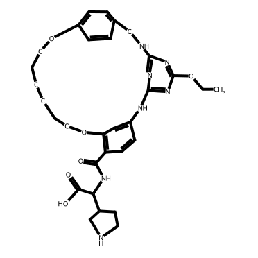 CCOc1nc2nc(n1)Nc1ccc(C(=O)NC(C(=O)O)C3CCNC3)c(c1)OCCCCCCOc1ccc(cc1)CN2